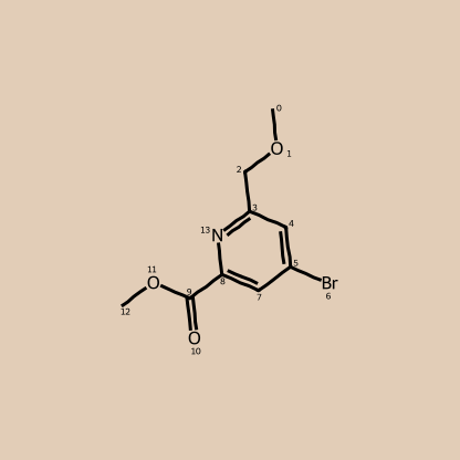 COCc1cc(Br)cc(C(=O)OC)n1